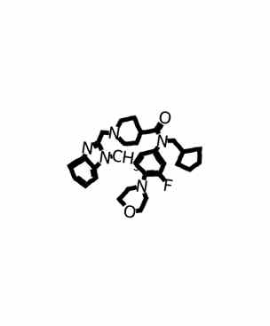 Cn1c(CN2CCC(C(=O)N(CC3CCCC3)c3ccc(N4CCOCC4)c(F)c3)CC2)nc2ccccc21